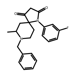 CC1CC2(CCN1Cc1ccccc1)C(=O)CC(=O)N2c1cccc(F)c1